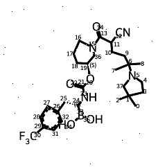 CC1(C)CCN(C(C)(C)CCC(C#N)C(=O)N2CCC[C@H](OC(=O)N[C@@H](Cc3ccc(C(F)(F)F)cc3)B(O)O)C2)C1